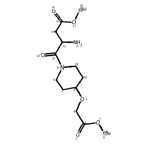 CC(C)(C)OC(=O)COC1CCN(C(=O)C(N)CC(=O)OC(C)(C)C)CC1